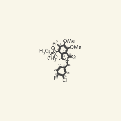 COc1c(OC)c(C(C)C)c(S(=O)(=O)N(C)C)c2c1C(=O)N(Cc1ccc(F)c(Cl)c1)C2